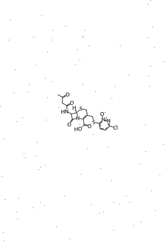 CC(=O)CC(=O)NC1C(=O)N2C(C(=O)O)=C(CSc3ccc(Cl)n[n+]3[O-])CS[C@@H]12